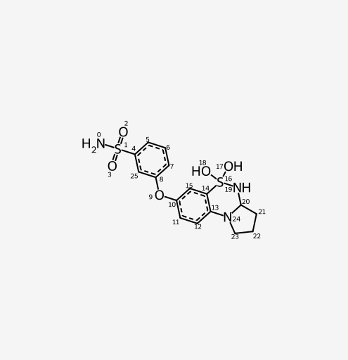 NS(=O)(=O)c1cccc(Oc2ccc3c(c2)S(O)(O)NC2CCCN32)c1